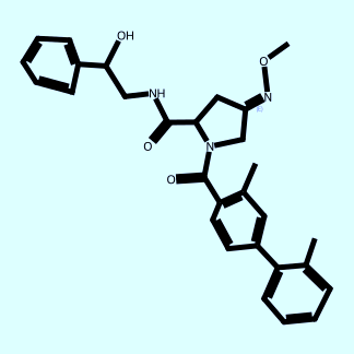 CO/N=C1\CC(C(=O)NCC(O)c2ccccc2)N(C(=O)c2ccc(-c3ccccc3C)cc2C)C1